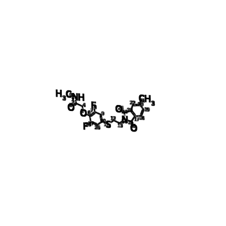 CNC(=O)COc1c(F)cc(SCCN2C(=O)c3ccc(C)cc3C2=O)cc1F